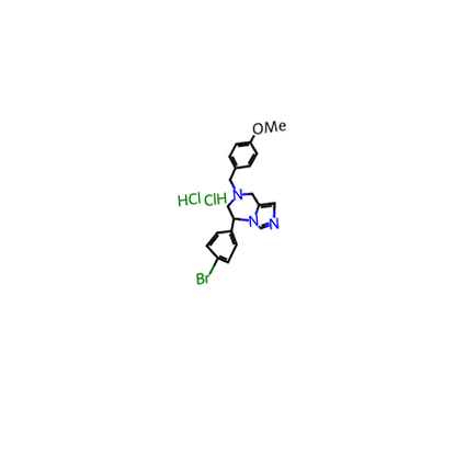 COc1ccc(CN2Cc3cncn3C(c3ccc(Br)cc3)C2)cc1.Cl.Cl